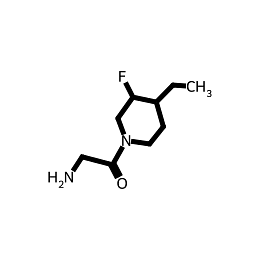 CCC1CCN(C(=O)CN)CC1F